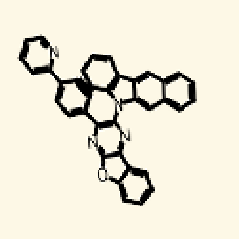 c1c(-c2ccccn2)ccc(-c2nc3oc4ccccc4c3nc2-n2c3c(c4cc5ccccc5cc42)C=CCC3)c#1